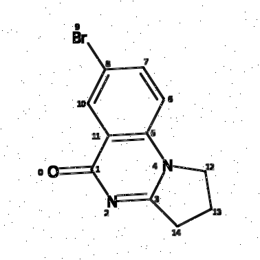 O=c1nc2n(c3ccc(Br)cc13)CCC2